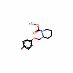 CC(C)(C)OC(=O)N1CCCC[C@H]1COc1ccc(I)cc1